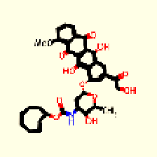 COc1cccc2c1C(=O)c1c(O)c3c(c(O)c1C2=O)CC(C(=O)CO)=C[C@@H]3O[C@H]1CC(NC(=O)OC2/C=C/CCCCC2)C(O)C(C)O1